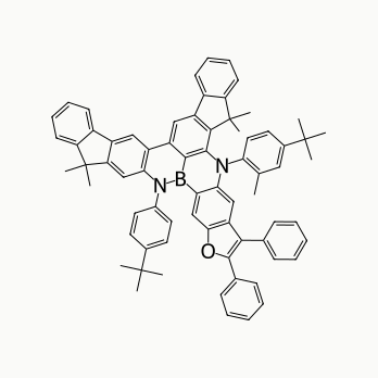 Cc1cc(C(C)(C)C)ccc1N1c2cc3c(-c4ccccc4)c(-c4ccccc4)oc3cc2B2c3c(cc4c(c31)C(C)(C)c1ccccc1-4)-c1cc3c(cc1N2c1ccc(C(C)(C)C)cc1)C(C)(C)c1ccccc1-3